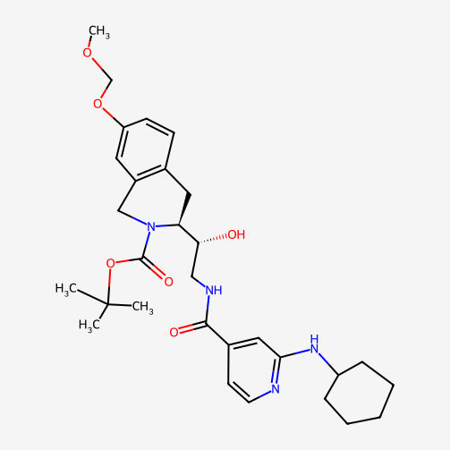 COCOc1ccc2c(c1)CN(C(=O)OC(C)(C)C)[C@H]([C@H](O)CNC(=O)c1ccnc(NC3CCCCC3)c1)C2